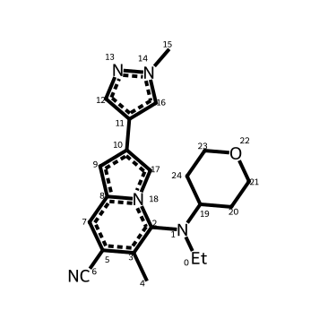 CCN(c1c(C)c(C#N)cc2cc(-c3cnn(C)c3)cn12)C1CCOCC1